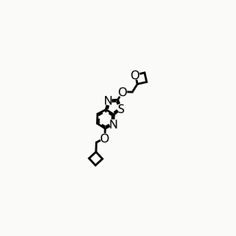 c1cc2nc(OCC3CCO3)sc2nc1OCC1CCC1